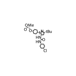 COC(=O)COc1ccc(-n2nc(C(C)(C)C)cc2NC(=O)Nc2ccc(Cl)cc2)cc1